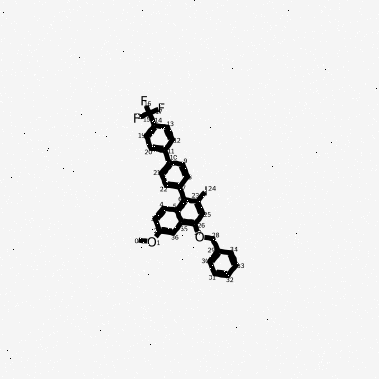 COc1ccc2c(-c3ccc(-c4ccc(C(F)(F)F)cc4)cc3)c(I)cc(OCc3ccccc3)c2c1